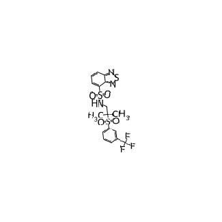 CC(C)(CNS(=O)(=O)c1cccc2nsnc12)S(=O)(=O)c1cccc(C(F)(F)F)c1